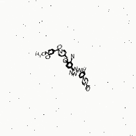 Cn1ccc(C(=O)N2CCC(COc3ccc(-c4ncnc(Nc5ccc(N6CCN(C7COC7)CC6)cc5)n4)cc3C#N)CC2)cc1=O